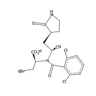 CC(C)(C)C[C@@H](C(=O)O)N(C(=O)c1c(Cl)cccc1Cl)[C@H](C#N)C[C@@H]1CCNC1=O